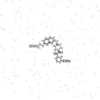 COc1cccc(C(=O)NC2CCN(Cc3ccc4ccc(CCCC=O)cc4c3)CC2)c1